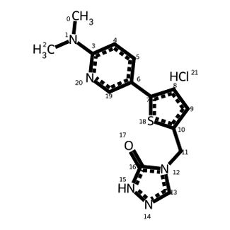 CN(C)c1ccc(-c2ccc(Cn3cn[nH]c3=O)s2)cn1.Cl